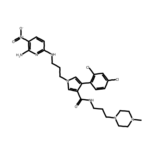 CN1CCN(CCCNC(=O)c2cn(CCCNc3ccc([N+](=O)[O-])c(N)n3)cc2-c2ccc(Cl)cc2Cl)CC1